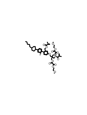 C=C(C)C(=O)NCC(COC(=O)C(=O)OCCOC)(COC(=O)C(=O)OCCOC)COc1ccc(-c2ccc(C3CCC(CCCCC)CC3)cc2F)c(COC(=O)C(=C)C)c1